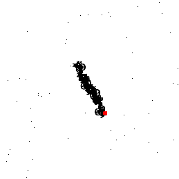 C=C(C)C(=O)OCCc1ccc(OC(=O)C2CCC(C(=O)Oc3ccc(CCOC(=O)C(=C)C)cc3)CC2)cc1